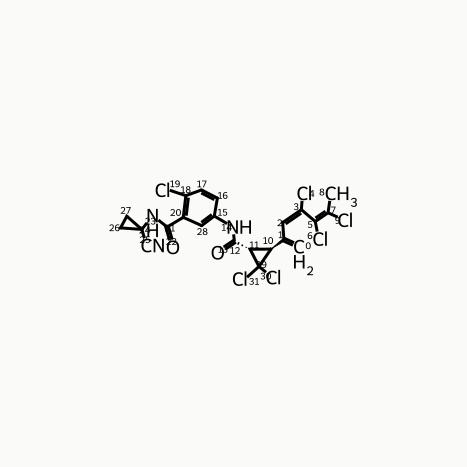 C=C(/C=C(Cl)\C(Cl)=C(/C)Cl)[C@@H]1[C@@H](C(=O)Nc2ccc(Cl)c(C(=O)NC3(C#N)CC3)c2)C1(Cl)Cl